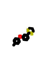 Cc1ccc(Oc2cccc(C3SCCCS3)c2)cc1